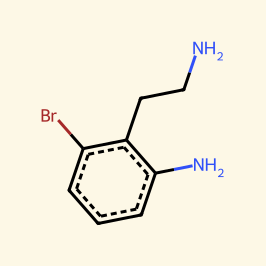 NCCc1c(N)cccc1Br